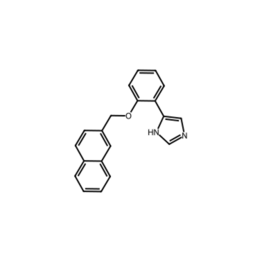 c1ccc(-c2cnc[nH]2)c(OCc2ccc3ccccc3c2)c1